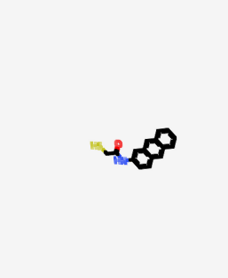 O=C(CS)Nc1ccc2cc3ccccc3cc2c1